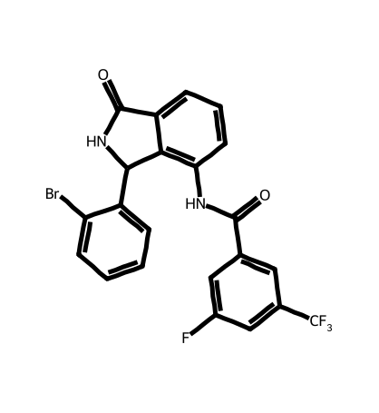 O=C(Nc1cccc2c1C(c1ccccc1Br)NC2=O)c1cc(F)cc(C(F)(F)F)c1